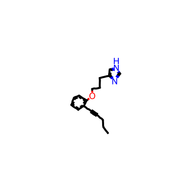 CCCC#Cc1ccccc1OCCCc1c[nH]cn1